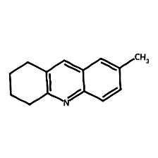 Cc1ccc2nc3c(cc2c1)CCCC3